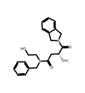 CC(=O)O[C@H](CC(=O)N(CCO)Cc1ccccc1)C(=O)N1Cc2ccccc2C1